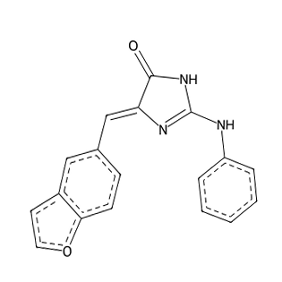 O=C1NC(Nc2ccccc2)=N/C1=C\c1ccc2occc2c1